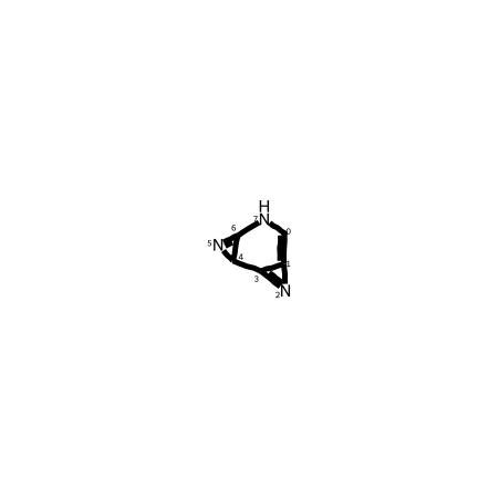 C1=C2N=C2C2N=C2N1